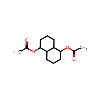 CC(=O)OC1CCCC2C(OC(C)=O)CCCC12